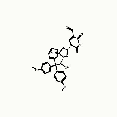 COc1ccc(C(c2ccccc2)(c2ccc(OC)cc2)C(O)[C@H]2O[C@@H](n3cc(C=O)c(=O)[nH]c3=O)C[C@@H]2O)cc1